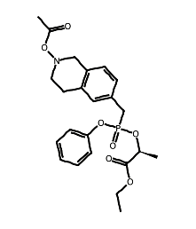 CCOC(=O)[C@H](C)OP(=O)(Cc1ccc2c(c1)CCN(OC(C)=O)C2)Oc1ccccc1